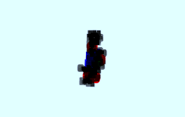 C=Cc1nc(-n2nc(COCc3ccccc3)n(CC)c2=O)c(F)cc1C(=O)OC(C)C